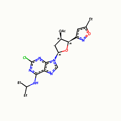 CCc1cc([C@H]2O[C@@H](n3cnc4c(NC(CC)CC)nc(Cl)nc43)[CH][C@H]2OC(C)=O)no1